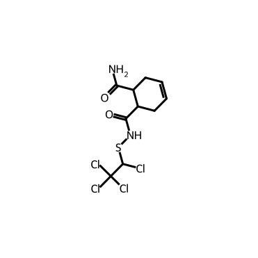 NC(=O)C1CC=CCC1C(=O)NSC(Cl)C(Cl)(Cl)Cl